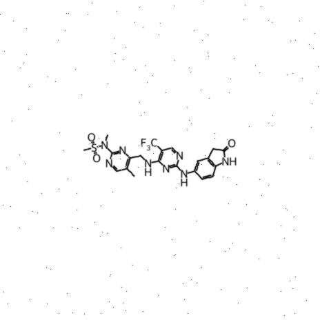 Cc1cnc(N(C)S(C)(=O)=O)nc1CNc1nc(Nc2ccc3c(c2)CC(=O)N3)ncc1C(F)(F)F